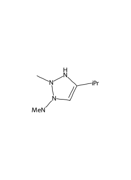 CNN1C=C(C(C)C)NN1C